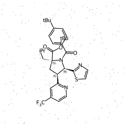 CC(C)C[C@@]1(C(=O)OC(C)(C)C)C[C@H](c2cc(C(F)(F)F)ccn2)[C@H](c2nccs2)N1C(=O)c1ccc(C(C)(C)C)cc1